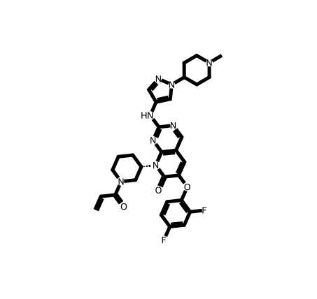 C=CC(=O)N1CCC[C@H](n2c(=O)c(Oc3ccc(F)cc3F)cc3cnc(Nc4cnn(C5CCN(C)CC5)c4)nc32)C1